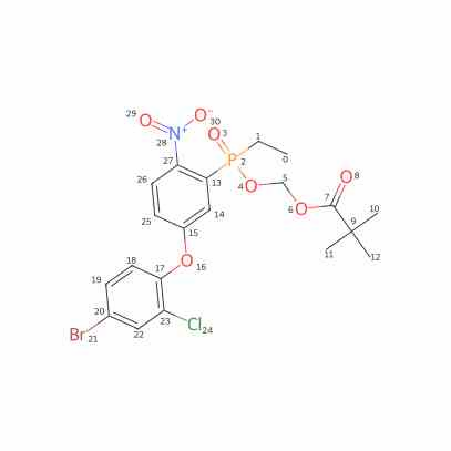 CCP(=O)(OCOC(=O)C(C)(C)C)c1cc(Oc2ccc(Br)cc2Cl)ccc1[N+](=O)[O-]